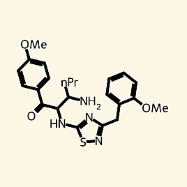 CCCC(N)C(Nc1nc(Cc2ccccc2OC)ns1)C(=O)c1ccc(OC)cc1